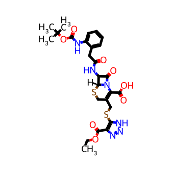 CCOC(=O)c1nn[nH]c1SCC1=C(C(=O)O)N2C(=O)C(NC(=O)Cc3ccccc3NC(=O)OC(C)(C)C)[C@H]2SC1